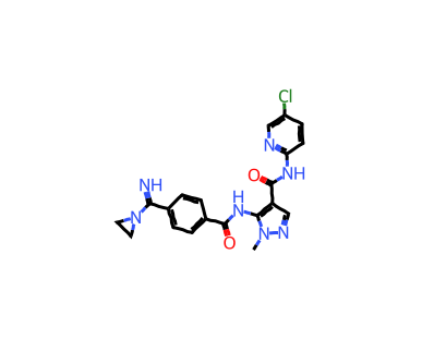 Cn1ncc(C(=O)Nc2ccc(Cl)cn2)c1NC(=O)c1ccc(C(=N)N2CC2)cc1